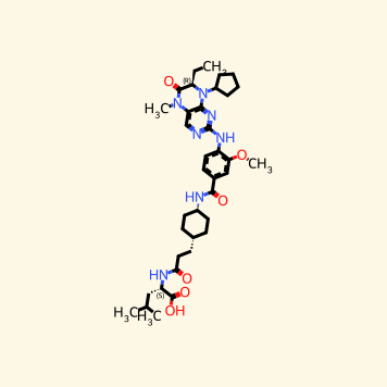 CC[C@@H]1C(=O)N(C)c2cnc(Nc3ccc(C(=O)N[C@H]4CC[C@@H](CCC(=O)N[C@@H](CC(C)C)C(=O)O)CC4)cc3OC)nc2N1C1CCCC1